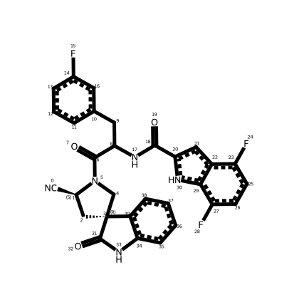 N#C[C@@H]1C[C@@]2(CN1C(=O)C(Cc1cccc(F)c1)NC(=O)c1cc3c(F)ccc(F)c3[nH]1)C(=O)Nc1ccccc12